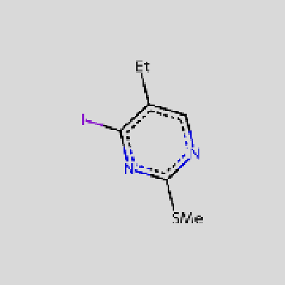 CCc1cnc(SC)nc1I